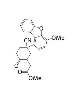 COC(=O)CC1CC(C#N)(c2ccc(OC)c3oc4ccccc4c23)CCC1=O